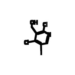 OCc1c(Cl)ncc(I)c1Cl